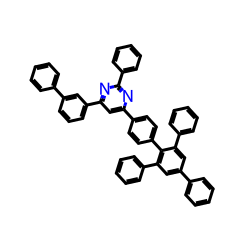 c1ccc(-c2cccc(-c3cc(-c4ccc(-c5c(-c6ccccc6)cc(-c6ccccc6)cc5-c5ccccc5)cc4)nc(-c4ccccc4)n3)c2)cc1